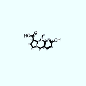 COc1nc(O)ccc1CN1CCC(C(=O)O)C1